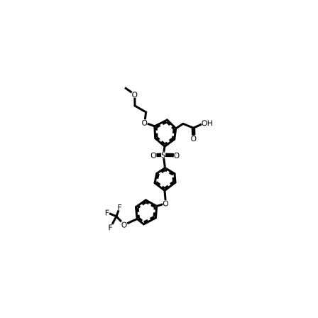 COCCOc1cc(CC(=O)O)cc(S(=O)(=O)c2ccc(Oc3ccc(OC(F)(F)F)cc3)cc2)c1